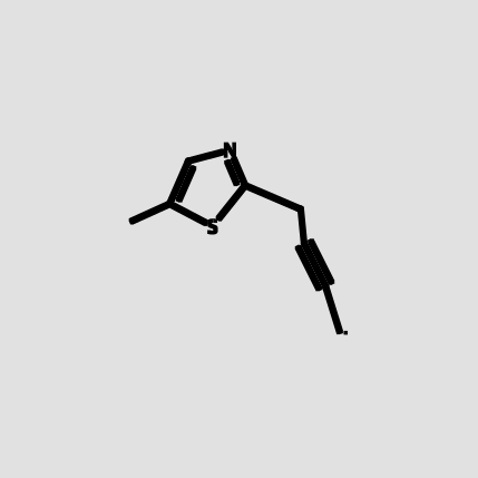 [CH2]C#CCc1ncc(C)s1